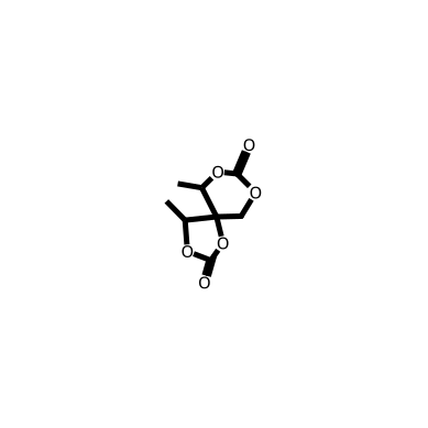 CC1OC(=O)OCC12OC(=O)OC2C